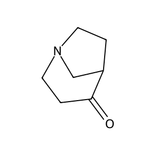 O=C1CCN2CCC1C2